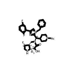 CC(=O)N1CCC([C@H](c2nc(-c3cc(F)ccc3F)cn2Cc2ccccc2)N(C[C@@H]2CNC[C@@H]2F)C(=O)[C@H](C)O)CC1